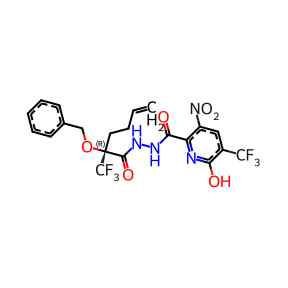 C=CCC[C@@](OCc1ccccc1)(C(=O)NNC(=O)c1nc(O)c(C(F)(F)F)cc1[N+](=O)[O-])C(F)(F)F